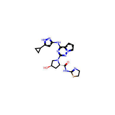 O=C(NC1=NCCS1)[C@@H]1C[C@@H](O)CN1c1nc(Nc2cc(C3CC3)[nH]n2)c2cccn2n1